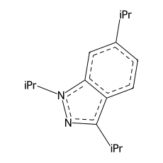 CC(C)c1ccc2c(C(C)C)nn(C(C)C)c2c1